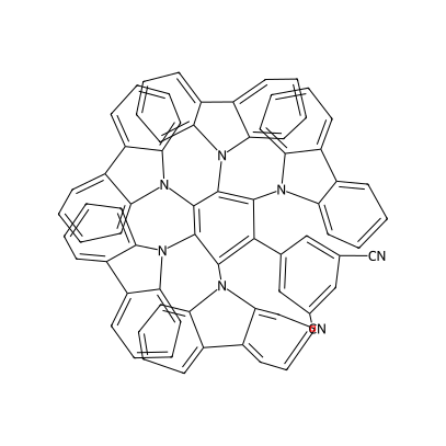 N#Cc1cc(C#N)cc(-c2c(-n3c4ccccc4c4ccccc43)c(-n3c4ccccc4c4ccccc43)c(-n3c4ccccc4c4ccccc43)c(-n3c4ccccc4c4ccccc43)c2-n2c3ccccc3c3ccccc32)c1